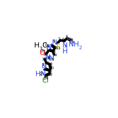 Cn1c2nc(CC(=N)/C=C\N)sc2c2cnn(Cc3ccc4cc(Cl)[nH]c4n3)c(=O)c21